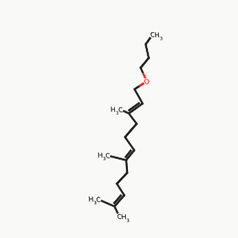 CCCCOC/C=C(\C)CC/C=C(\C)CCC=C(C)C